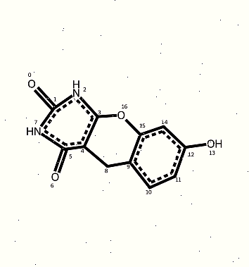 O=c1[nH]c2c(c(=O)[nH]1)Cc1ccc(O)cc1O2